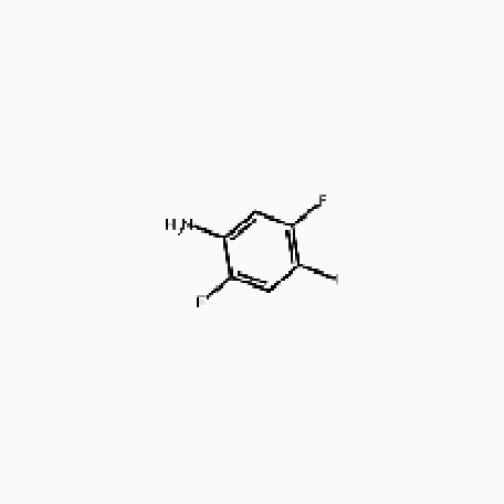 Nc1cc(F)c(I)cc1F